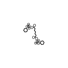 O=C(CCCCCC(=O)OCS(=O)(=O)OC1CCCCC1)OCS(=O)(=O)OC1CCCCC1